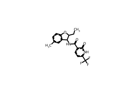 CCC1Oc2ccc(C)cc2C1NC(=O)c1ccc(C(F)(F)F)[nH]c1=O